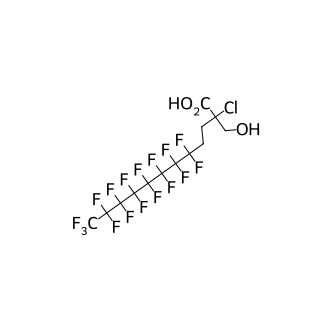 O=C(O)C(Cl)(CO)CCC(F)(F)C(F)(F)C(F)(F)C(F)(F)C(F)(F)C(F)(F)C(F)(F)C(F)(F)F